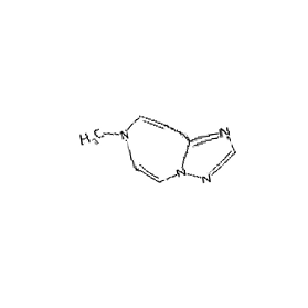 CN1C=Cc2ncnn2C=C1